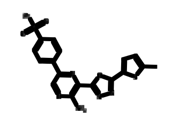 Cc1ccc(-c2nnc(-c3nc(-c4ccc(S(=O)(=O)C(C)C)cc4)cnc3N)o2)s1